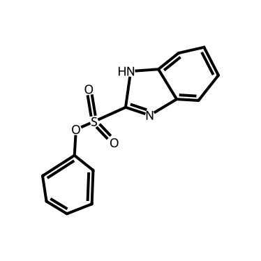 O=S(=O)(Oc1ccccc1)c1nc2ccccc2[nH]1